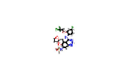 Cc1c(OC2CCOC2)c(N=S(C)(C)=O)cc2ncnc(Nc3ccc(F)cc3OCC(F)(F)F)c12